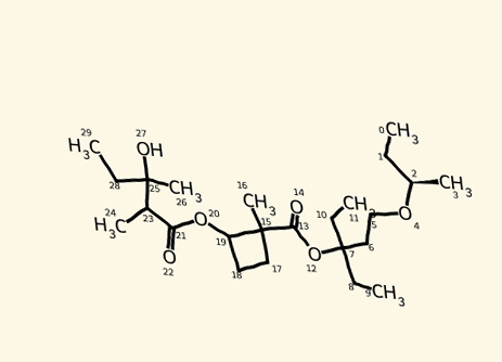 CC[C@@H](C)OCCC(CC)(CC)OC(=O)C1(C)CCC1OC(=O)C(C)C(C)(O)CC